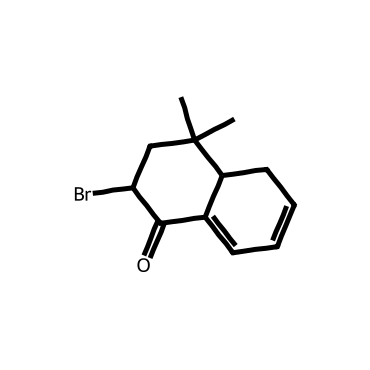 CC1(C)CC(Br)C(=O)C2=CC=CCC21